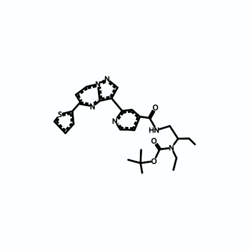 CCC(CNC(=O)c1ccnc(-c2cnn3ccc(-c4cccs4)nc23)c1)N(CC)C(=O)OC(C)(C)C